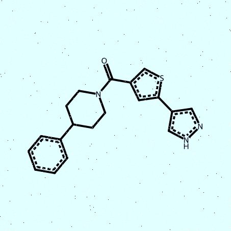 O=C(c1csc(-c2cn[nH]c2)c1)N1CCC(c2ccccc2)CC1